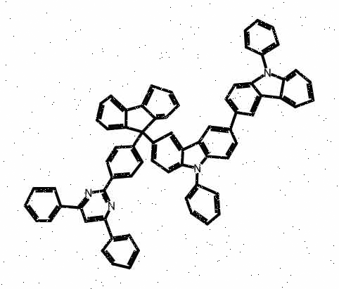 c1ccc(-c2cc(-c3ccccc3)nc(-c3ccc(C4(c5ccc6c(c5)c5cc(-c7ccc8c(c7)c7ccccc7n8-c7ccccc7)ccc5n6-c5ccccc5)c5ccccc5-c5ccccc54)cc3)n2)cc1